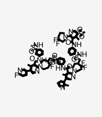 Cc1ncccc1-c1cnc(N2CCC(CS(=N)(=O)c3cccc(NC(=O)c4c(N5CCCC(F)(F)CC5)ncc(S(C)(=O)=O)c4C)c3)C(F)(F)CC2)c(C(=O)Nc2cccc(S(=N)(=O)CC3CCN(c4ncc(-c5ccc(F)nc5)c(C)c4C(=O)Nc4cccc(S(C)(=N)=O)c4)CCC3(F)F)c2)c1C